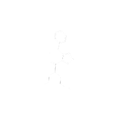 CCSC(SCC)C(=O)c1cnnn1[C@H](C)c1ccccc1